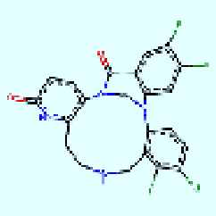 O=C1c2cc(F)c(F)cc2N2CN1c1ccc(=O)[nH]c1CCNCc1c2ccc(Cl)c1F